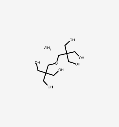 OCC(CO)(CO)COCC(CO)(CO)CO.[AlH3]